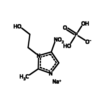 Cc1ncc([N+](=O)[O-])n1CCO.O=P([O-])(O)O.[Na+]